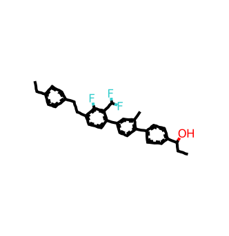 CCc1ccc(CCc2ccc(-c3ccc(-c4ccc(C(O)CC)cc4)c(C)c3)c(C(F)F)c2F)cc1